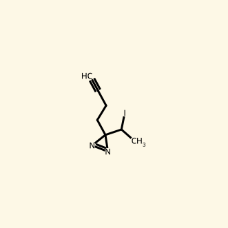 C#CCCC1(C(C)I)N=N1